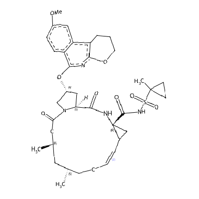 COc1ccc2c(O[C@@H]3C[C@H]4C(=O)N[C@]5(C(=O)NS(=O)(=O)C6(C)CC6)CC5/C=C\CC[C@H](C)C[C@@H](C)CC(=O)N4C3)nc3c(c2c1)CCCO3